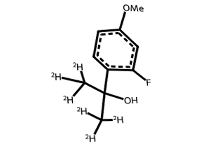 [2H]C([2H])([2H])C(O)(c1ccc(OC)cc1F)C([2H])([2H])[2H]